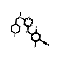 CN(CC1CCNCC1)c1cc(Nc2cc(F)c(C#N)cc2F)ncn1